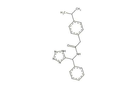 CC(C)c1ccc(CC(=O)NC(c2ccccc2)c2nnn[nH]2)cc1